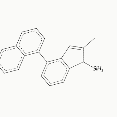 CC1=Cc2c(-c3cccc4ccccc34)cccc2C1[SiH3]